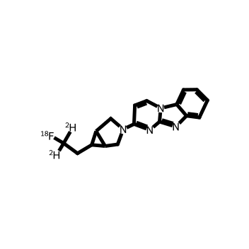 [2H]C([2H])([18F])CC1C2CN(c3ccn4c(n3)nc3ccccc34)CC21